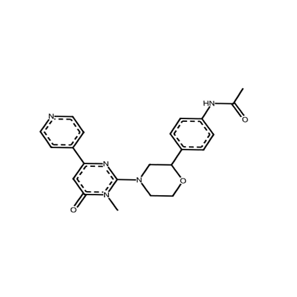 CC(=O)Nc1ccc(C2CN(c3nc(-c4ccncc4)cc(=O)n3C)CCO2)cc1